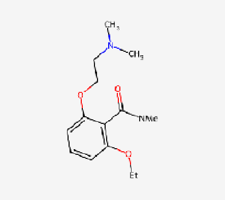 CCOc1cccc(OCCN(C)C)c1C(=O)NC